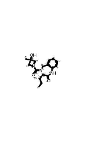 CC[C@H](C)[C@H]1C(=O)Nc2ccccc2CN1C(=O)N1CC(C)(O)C1